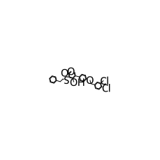 O=c1occ(-c2ccc(OCc3ccc(Cl)c(Cl)c3)cc2)c(O)c1SCCc1ccccc1